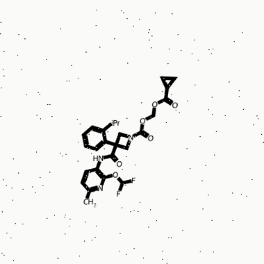 Cc1ccc(NC(=O)C2(c3ccccc3C(C)C)CN(C(=O)OCOC(=O)C3CC3)C2)c(OC(F)F)n1